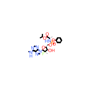 CNc1ncnc2c1ncn2[C@@H]1O[C@H](CO[P@@](=O)(N[C@@H](C)C(=O)OC(C)C)Oc2ccccc2)[C@@H](O)[C@@]1(C)F